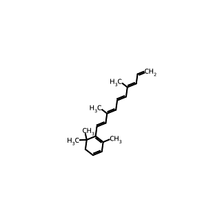 C=C/C=C(C)/C=C/C=C(C)/C=C/C1=C(C)C=CCC1(C)C